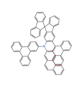 c1ccc2c(c1)-c1ccccc1C21c2ccccc2-c2cc(-c3cc4ccccc4c4ccccc34)c(N(c3ccc4c(ccc5ccccc54)c3)c3ccc4c5ccccc5c5ccccc5c4c3)cc21